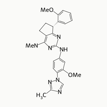 CNc1nc(Nc2ccc(-n3cnc(C)n3)c(OC)c2)nc2c1CC[C@@H]2c1ccccc1OC